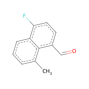 Cc1cccc2c(F)ccc(C=O)c12